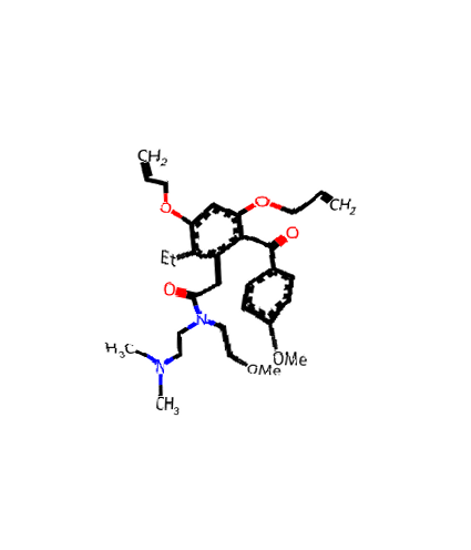 C=CCOc1cc(OCC=C)c(C(=O)c2ccc(OC)cc2)c(CC(=O)N(CCOC)CCN(C)C)c1CC